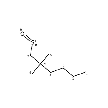 CCCCC(C)(C)C[S+]=O